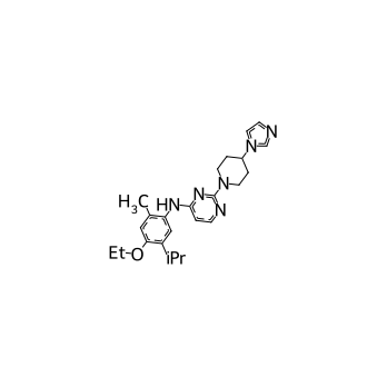 CCOc1cc(C)c(Nc2ccnc(N3CCC(n4ccnc4)CC3)n2)cc1C(C)C